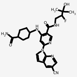 CC(C)(O)C(F)CNC(=O)c1cnc(-n2ccc3cc(C#N)cnc32)cc1NC1CCC(C(N)=O)CC1